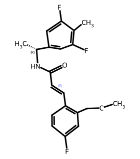 CCCc1cc(F)ccc1/C=C/C(=O)N[C@H](C)c1cc(F)c(C)c(F)c1